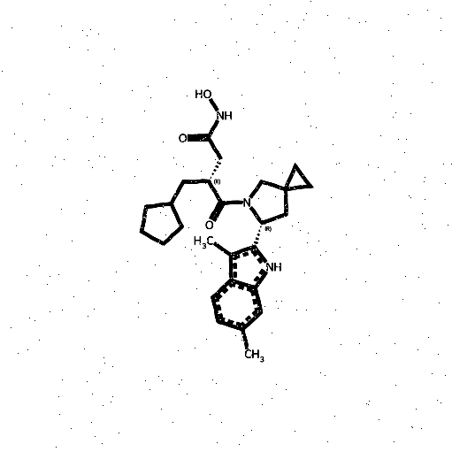 Cc1ccc2c(C)c([C@H]3CC4(CC4)CN3C(=O)[C@@H](CC(=O)NO)CC3CCCC3)[nH]c2c1